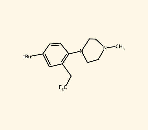 CN1CCN(c2ccc(C(C)(C)C)cc2CC(F)(F)F)CC1